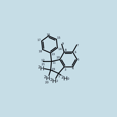 [2H]C1([2H])c2ccc(C)c(C)c2C(C)(c2ccccc2)C1([2H])[2H]